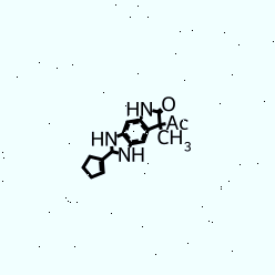 CC(=O)C1(C)C(=O)Nc2cc3c(cc21)NC(C1=CCCC1)N3